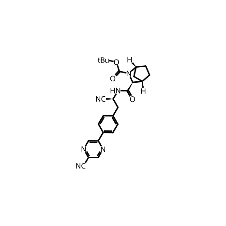 CC(C)(C)OC(=O)N1[C@@H]2CC[C@@H](C2)[C@H]1C(=O)N[C@H](C#N)Cc1ccc(-c2cnc(C#N)cn2)cc1